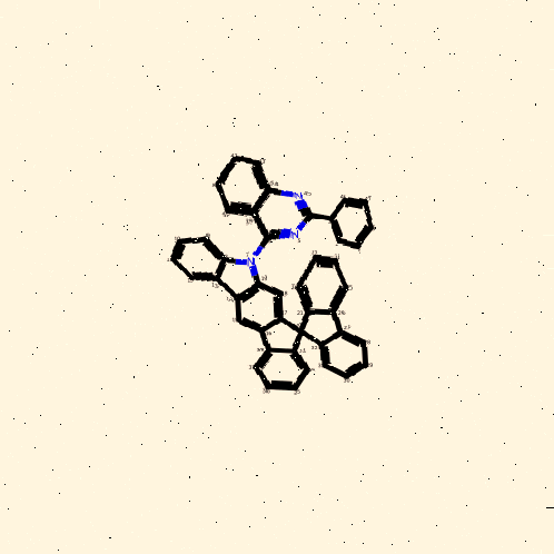 c1ccc(-c2nc(-n3c4ccccc4c4cc5c(cc43)C3(c4ccccc4-c4ccccc43)c3ccccc3-5)c3ccccc3n2)cc1